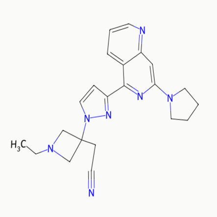 CCN1CC(CC#N)(n2ccc(-c3nc(N4CCCC4)cc4ncccc34)n2)C1